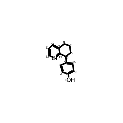 Oc1ccc(C2CCCc3cccnc32)cc1